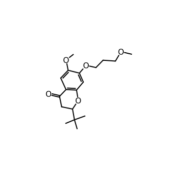 COCCCOc1cc2c(cc1OC)C(=O)CC(C(C)(C)C)O2